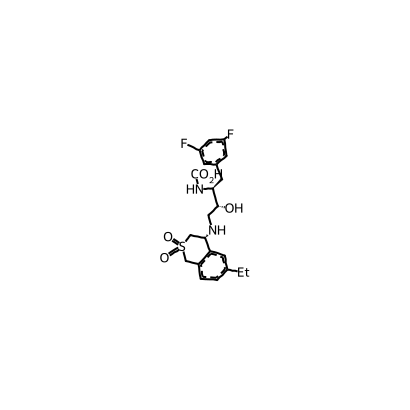 CCc1ccc2c(c1)[C@@H](NC[C@@H](O)[C@H](Cc1cc(F)cc(F)c1)NC(=O)O)CS(=O)(=O)C2